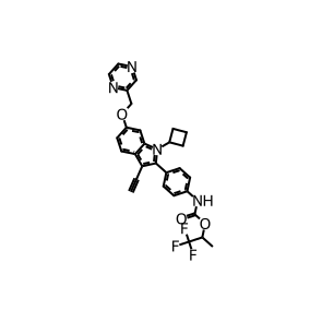 C#Cc1c(-c2ccc(NC(=O)OC(C)C(F)(F)F)cc2)n(C2CCC2)c2cc(OCc3cnccn3)ccc12